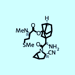 CN[C@@H](CCSC)C(=O)OC12CC3C[C@H](C1)CC([C@H](N)C(=O)N1C4CC4C[C@H]1C#N)(C3)C2